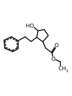 CCOC(=O)CC1CCC(O)C1CCc1ccccc1